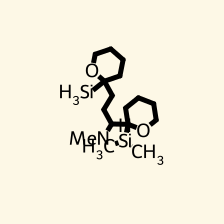 CNC(CCC1([SiH3])CCCCO1)C1([SiH](C)C)CCCCO1